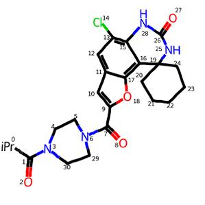 CC(C)C(=O)N1CCN(C(=O)c2cc3cc(Cl)c4c(c3o2)C2(CCCCC2)NC(=O)N4)CC1